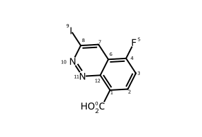 O=C(O)c1ccc(F)c2cc(I)nnc12